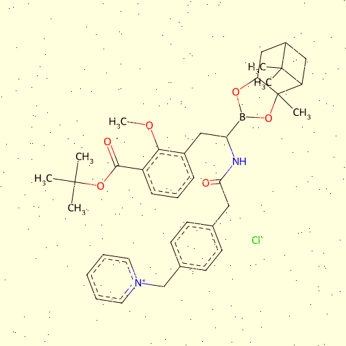 COc1c(CC(NC(=O)Cc2ccc(C[n+]3ccccc3)cc2)B2OC3CC4CC(C4(C)C)C3(C)O2)cccc1C(=O)OC(C)(C)C.[Cl-]